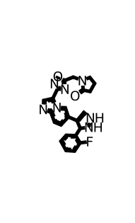 O=C1CCCN1Cc1nc(-c2cnc3ccc(C4=CNNC4c4ccccc4F)cn23)no1